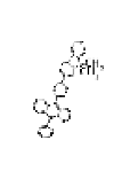 CC1(C)c2ccccc2-c2ccc(-c3ccc(-c4c5ccccc5c(-c5ccccc5)c5ccccc45)cc3)cc21